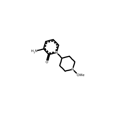 CON1CCC(n2cccc(N)c2=O)CC1